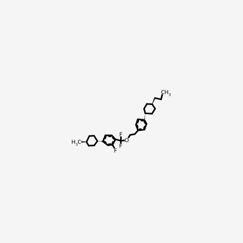 CCC[C@H]1CC[C@H](c2ccc(CCOC(F)(F)c3ccc([C@H]4CC[C@H](C)CC4)cc3F)cc2)CC1